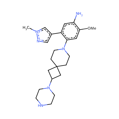 COc1cc(N2CCC3(CC2)CC(N2CCNCC2)C3)c(-c2cnn(C)c2)cc1N